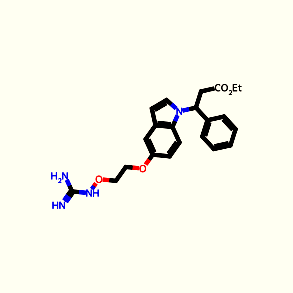 CCOC(=O)CC(c1ccccc1)n1ccc2cc(OCCONC(=N)N)ccc21